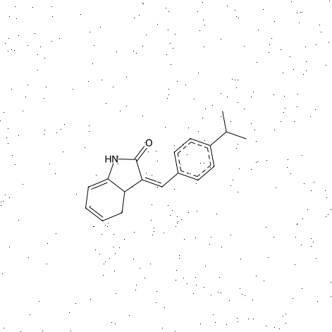 CC(C)c1ccc(C=C2C(=O)NC3=CC=CCC32)cc1